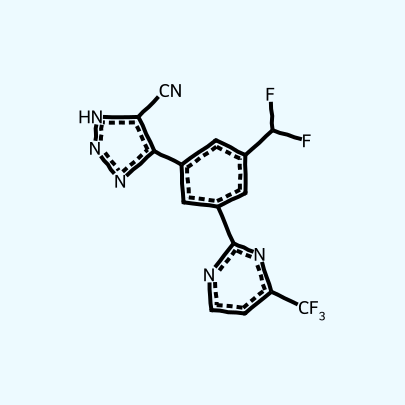 N#Cc1[nH]nnc1-c1cc(-c2nccc(C(F)(F)F)n2)cc(C(F)F)c1